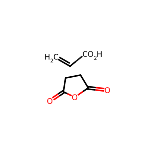 C=CC(=O)O.O=C1CCC(=O)O1